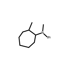 CC1CCCCCC1N(C)C(C)C